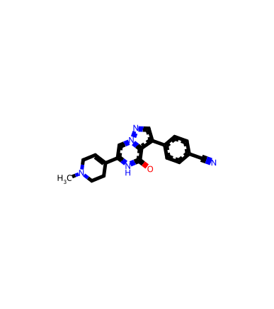 CN1CC=C(c2cn3ncc(-c4ccc(C#N)cc4)c3c(=O)[nH]2)CC1